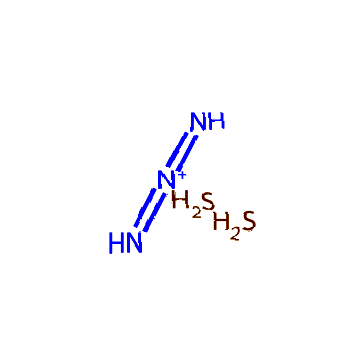 N=[N+]=N.S.S